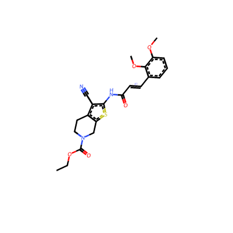 CCOC(=O)N1CCc2c(sc(NC(=O)/C=C/c3cccc(OC)c3OC)c2C#N)C1